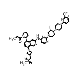 C=CC(=O)N1CCC[C@H]1c1ccc(N2CC(CS(C)(=O)=O)C2)c2cnc(Nc3ccnc(N4CC[C@@H](N5CCN(c6cccc(C(F)(F)F)n6)CC5)[C@@H](F)C4)n3)cc12